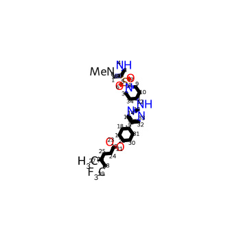 CN/C=C(\C=N)S(=O)(=O)N1CCC(Nc2ncc([C@H]3CC[C@@H](OC(=O)CC[C@@H](C)CC(F)(F)F)CC3)cn2)CC1